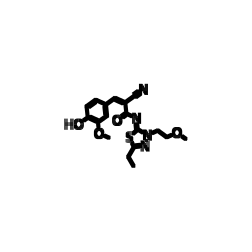 CCc1nn(CCOC)c(=NC(=O)C(C#N)=Cc2ccc(O)c(OC)c2)s1